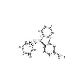 C=c1ccc2c(c1)-c1ccccc1C=2N.c1ccncc1